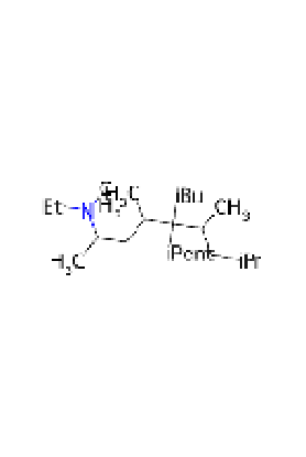 CCCC(C)C(C(C)CC)(C(C)CC(C)C)C(C)CC(C)N(C)CC